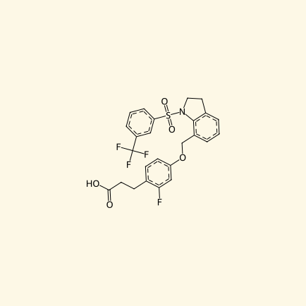 O=C(O)CCc1ccc(OCc2cccc3c2N(S(=O)(=O)c2cccc(C(F)(F)F)c2)CC3)cc1F